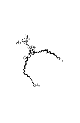 CCCCCCCC/C=C\CCCCCCCC(=O)OCC(COP(O)OCCN(CC)CC)OC(=O)CCCCCCC/C=C\CCCCCCCC